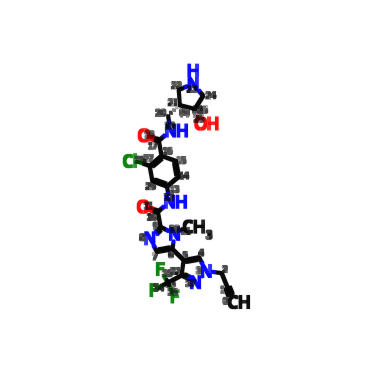 C#CCn1cc(-c2cnc(C(=O)Nc3ccc(C(=O)NC[C@@H]4CNC[C@@H]4O)c(Cl)c3)n2C)c(C(F)(F)F)n1